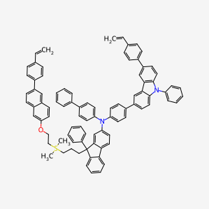 C=Cc1ccc(-c2ccc3cc(OCCS(C)(C)CCCC4(c5ccccc5)c5ccccc5-c5ccc(N(c6ccc(-c7ccccc7)cc6)c6ccc(-c7ccc8c(c7)c7cc(-c9ccc(C=C)cc9)ccc7n8-c7ccccc7)cc6)cc54)ccc3c2)cc1